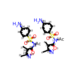 CC(=O)N(c1onc(C)c1C)S(=O)(=O)c1ccc(N)cc1.CC(=O)N(c1onc(C)c1C)S(=O)(=O)c1ccc(N)cc1